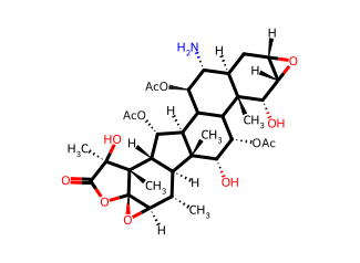 CC(=O)O[C@H]1[C@@H]2[C@H]([C@H](C)[C@H]3O[C@]34OC(=O)[C@@](C)(O)[C@]24C)[C@]2(C)[C@@H]1C1C([C@H](OC(C)=O)[C@@H]2O)[C@]2(C)[C@H](C[C@@H]3O[C@@H]3[C@@H]2O)[C@@H](N)[C@@H]1OC(C)=O